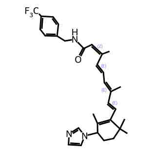 CC1=C(/C=C/C(C)=C/C=C/C(C)=C\C(=O)NCc2ccc(C(F)(F)F)cc2)C(C)(C)CCC1n1ccnc1